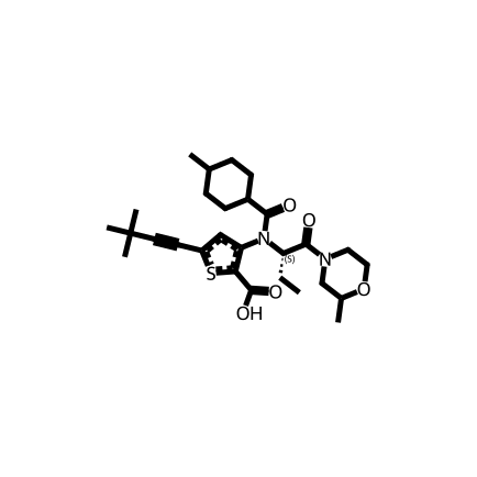 CC[C@@H](C(=O)N1CCOC(C)C1)N(C(=O)C1CCC(C)CC1)c1cc(C#CC(C)(C)C)sc1C(=O)O